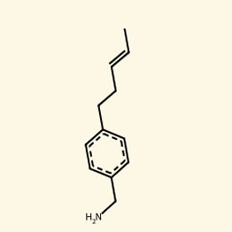 CC=CCCc1ccc(CN)cc1